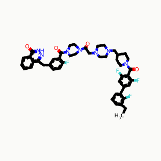 CCc1cccc(-c2cc(F)c(C(=O)N3CCC(CN4CCN(CC(=O)N5CCN(C(=O)c6cc(Cc7n[nH]c(=O)c8ccccc78)ccc6F)CC5)CC4)CC3)c(F)c2)c1F